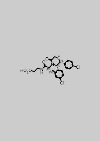 CCC[C@H](C(=O)NCCC(=O)O)N1C(=O)CO[C@H](c2ccc(Cl)cc2)[C@@H]1c1ccc(Cl)cc1